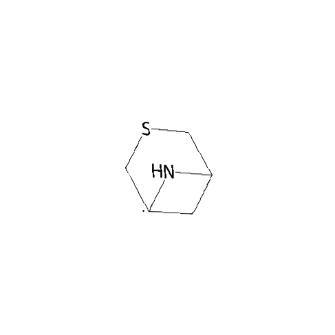 C1SCC2C[C]1N2